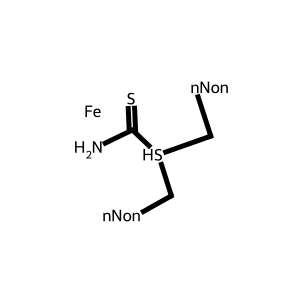 CCCCCCCCCC[SH](CCCCCCCCCC)C(N)=S.[Fe]